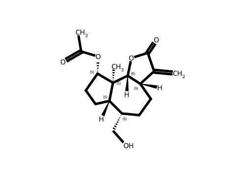 C=C1C(=O)O[C@@H]2[C@H]1CC[C@H](CO)[C@@H]1CC[C@H](OC(C)=O)[C@@]21C